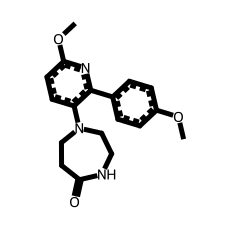 COc1ccc(-c2nc(OC)ccc2N2CCNC(=O)CC2)cc1